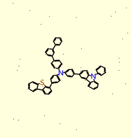 c1ccc(-c2cccc(-c3ccc(N(c4ccc(-c5ccc6c(c5)c5ccccc5n6-c5ccccc5)cc4)c4ccc(-c5cccc6c5sc5ccccc56)cc4)cc3)c2)cc1